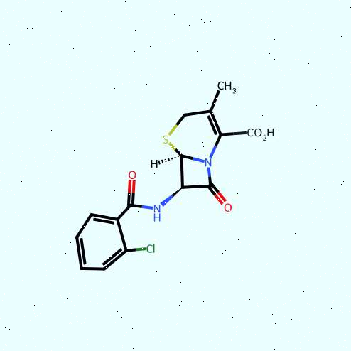 CC1=C(C(=O)O)N2C(=O)[C@@H](NC(=O)c3ccccc3Cl)[C@H]2SC1